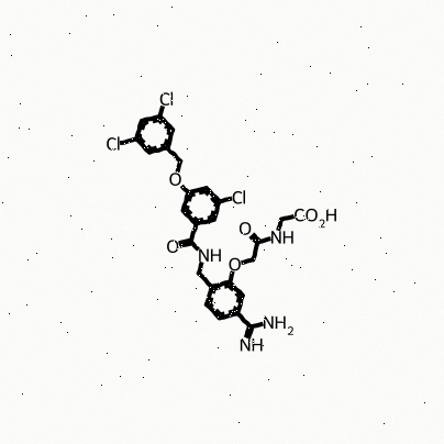 N=C(N)c1ccc(CNC(=O)c2cc(Cl)cc(OCc3cc(Cl)cc(Cl)c3)c2)c(OCC(=O)NCC(=O)O)c1